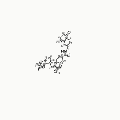 O=C(NCc1ccc2c(=O)cc[nH]c2c1)c1ccc2c(c1)nc(C(F)(F)F)n2Cc1cccc2c1OC(F)(F)O2